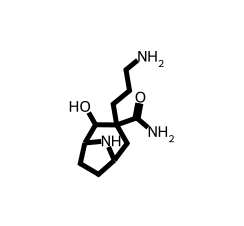 NCCCC1(C(N)=O)CC2CCC(N2)C1O